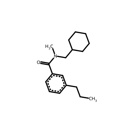 CCCc1cccc(C(=O)N(C)CC2CCCCC2)c1